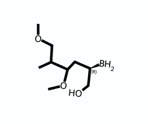 B[C@@H](CO)CC(OC)C(C)COC